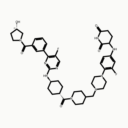 O=C1CCC(Nc2ccc(N3CCN(CC4CCN(C(=O)[C@H]5CC[C@H](Nc6ncc(F)c(-c7cccc(C(=O)N8CC[C@H](O)C8)c7)n6)CC5)CC4)CC3)c(F)c2)C(=O)N1